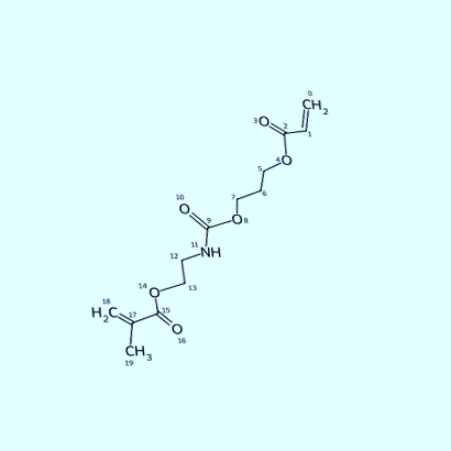 C=CC(=O)OCCCOC(=O)NCCOC(=O)C(=C)C